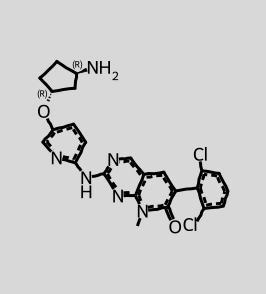 Cn1c(=O)c(-c2c(Cl)cccc2Cl)cc2cnc(Nc3ccc(O[C@@H]4CC[C@@H](N)C4)cn3)nc21